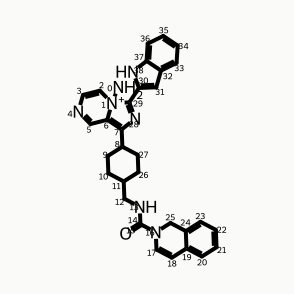 N[N+]12C=CN=CC1=C(C1CCC(CNC(=O)N3C=Cc4ccccc4C3)CC1)N=C2c1cc2ccccc2[nH]1